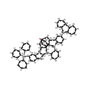 c1ccc([Si](c2ccccc2)(c2ccccc2)c2ccc3nc4n(-c5ccccc5-n5c6ccccc6c6cc(-n7c8ccccc8c8ccccc87)ccc65)c5ccccc5n4c3c2)cc1